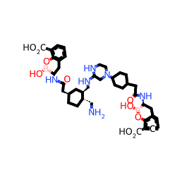 NC[C@@H]1CC[C@@H](CC(=O)N[C@H]2Cc3cccc(C(=O)O)c3OB2O)C[C@H]1CNC1CN(C2CCC(CC(=O)N[C@H]3Cc4cccc(C(=O)O)c4OB3O)CC2)CCN1